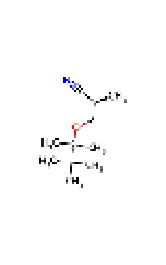 C[C@H](C#N)CO[Si](C)(C)C(C)(C)C